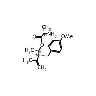 C=C(C)[C@@H](Cc1ccc(OC)cc1)[C@H](C)OC(=O)[C@H](C)N